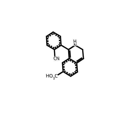 N#Cc1ccccc1C1=c2cc(C(=O)O)ccc2=CCN1